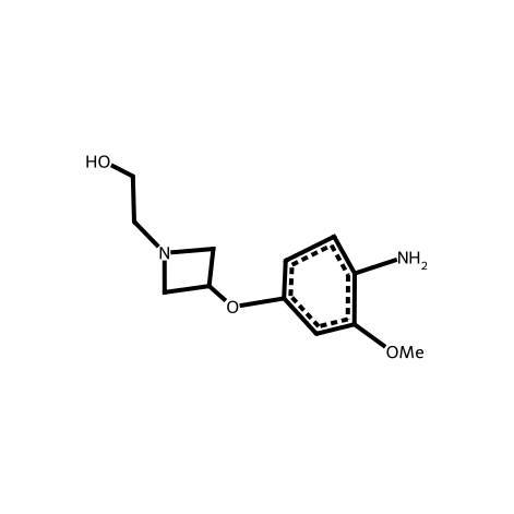 COc1cc(OC2CN(CCO)C2)ccc1N